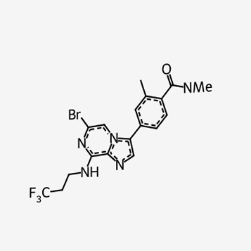 CNC(=O)c1ccc(-c2cnc3c(NCCC(F)(F)F)nc(Br)cn23)cc1C